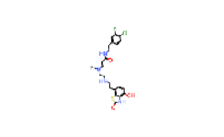 CC(C)N(CCNCCc1ccc(O)c2[nH]c(=O)sc12)CCC(=O)NCCc1ccc(Cl)c(Cl)c1